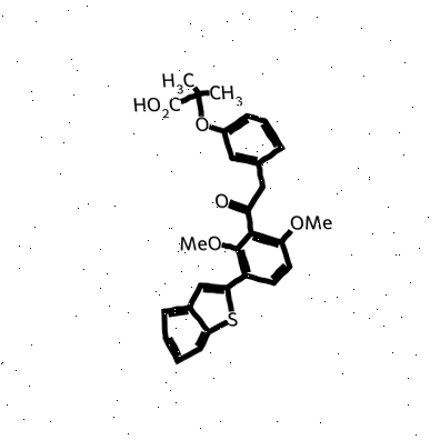 COc1ccc(-c2cc3ccccc3s2)c(OC)c1C(=O)Cc1cccc(OC(C)(C)C(=O)O)c1